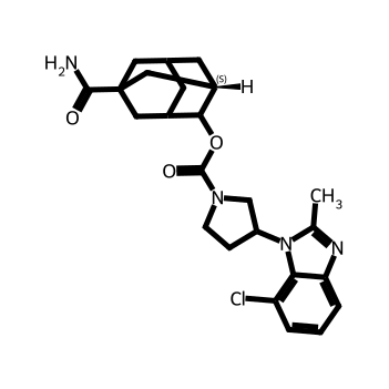 Cc1nc2cccc(Cl)c2n1C1CCN(C(=O)OC2C3CC4C[C@H]2CC(C(N)=O)(C4)C3)C1